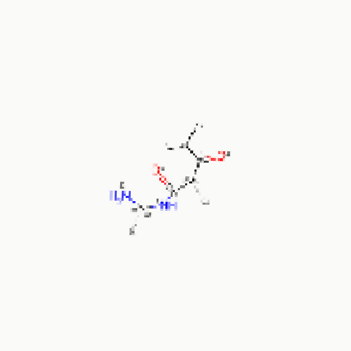 CC(C)C(=O)[C@H](C)C(=O)N[C@H](C)N